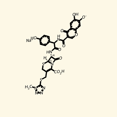 Cn1nnnc1SCC1=C(C(=O)O)N2C(=O)[C@@H](NC(=O)C(NC(=O)c3coc4cc([O-])c(O)cc4c3=O)c3ccc(O)cc3)[C@@H]2SC1.[Na+]